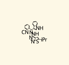 CC(C)c1cc2c(NN=C(c3ccccc3C#N)c3c[nH]c4ccccc34)ncnc2s1